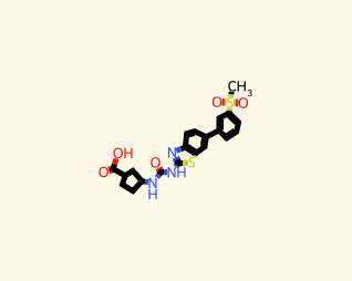 CS(=O)(=O)c1cccc(-c2ccc3nc(NC(=O)NC4CCC(C(=O)O)C4)sc3c2)c1